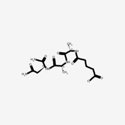 C[C@H](NC(=O)CCCC(=O)Cl)C(=O)N[C@H](C)C(=O)N[C@@H](CC(N)=O)C(N)=O